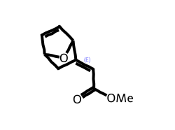 COC(=O)/C=C1\CC2C=CC1O2